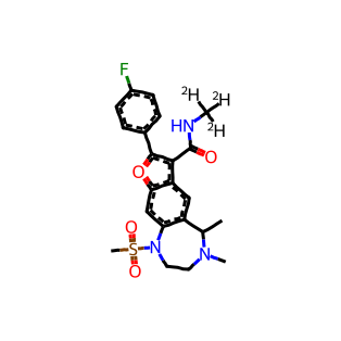 [2H]C([2H])([2H])NC(=O)c1c(-c2ccc(F)cc2)oc2cc3c(cc12)C(C)N(C)CCN3S(C)(=O)=O